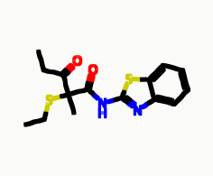 CCSC(C)(C(=O)CC)C(=O)Nc1nc2ccccc2s1